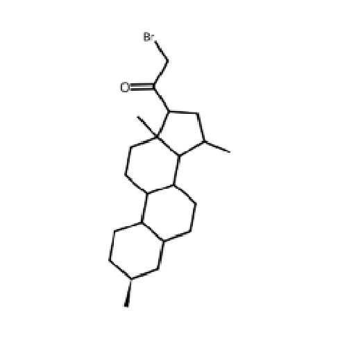 CC1CC(C(=O)CBr)C2(C)CCC3C4CC[C@H](C)CC4CCC3C12